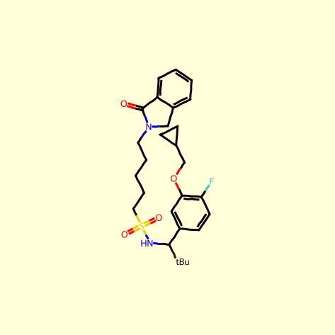 CC(C)(C)C(NS(=O)(=O)CCCCCN1Cc2ccccc2C1=O)c1ccc(F)c(OCC2CC2)c1